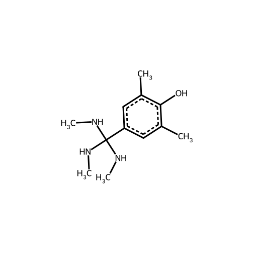 CNC(NC)(NC)c1cc(C)c(O)c(C)c1